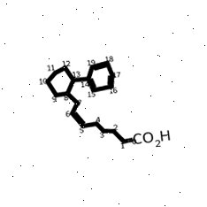 O=C(O)CCCC/C=C\CC1CCCCC1c1ccccc1